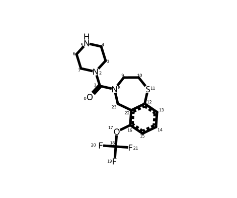 O=C(N1CCNCC1)N1CCSc2cccc(OC(F)(F)F)c2C1